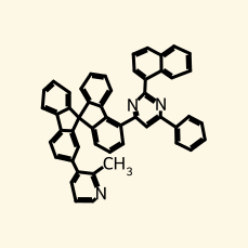 Cc1ncccc1-c1ccc2c(c1)C1(c3ccccc3-2)c2ccccc2-c2c(-c3cc(-c4ccccc4)nc(-c4cccc5ccccc45)n3)cccc21